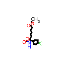 CCOC(=O)CCCCCc1oc(=O)[nH]c1-c1ccc(Cl)cc1